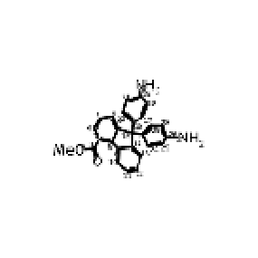 COC(=O)c1cccc2c1-c1ccccc1C2(c1ccc(N)cc1)c1ccc(N)cc1